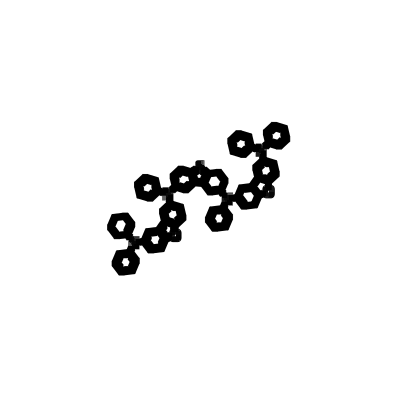 C1=C2c3cc(N(c4ccccc4)c4ccccc4)ccc3OC2CC=C1N(C1=Cc2c(sc3ccc(N(c4ccccc4)c4ccc5oc6ccc(N(C7=CCCCC7)c7ccccc7)cc6c5c4)cc23)CC1)c1ccccc1